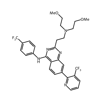 COCCN(CCOC)CCc1nc(Nc2ccc(C(F)(F)F)cc2)c2ccc(-c3ncccc3C(F)(F)F)cc2n1